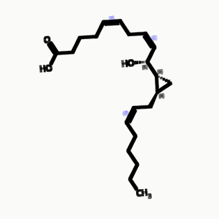 CCCCC/C=C\C[C@@H]1C[C@H]1[C@H](O)/C=C\C/C=C\CCCC(=O)O